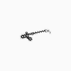 CCCCCCCCCCCCOCCCNC(=O)c1cc2ccccc2cc1OCc1ccccc1